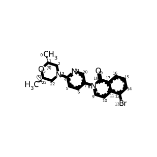 C[C@@H]1CN(c2ccc(-n3ccc4c(Br)cccc4c3=O)cn2)C[C@H](C)O1